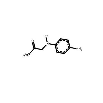 CCN(CC(=O)NC)c1ccc(N)cc1